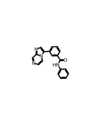 O=C(Nc1ccccc1)c1cccc(-c2cnc3cnccn23)c1